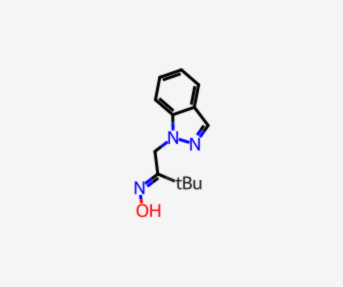 CC(C)(C)/C(Cn1ncc2ccccc21)=N\O